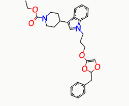 CCOC(=O)N1CCC(c2cn(CCCOC3=COC(Cc4ccccc4)O3)c3ccccc23)CC1